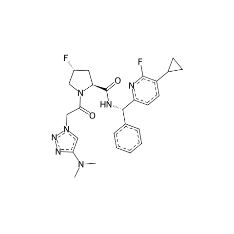 CN(C)c1cn(CC(=O)N2C[C@H](F)C[C@H]2C(=O)N[C@@H](c2ccccc2)c2ccc(C3CC3)c(F)n2)nn1